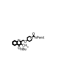 CCCCCC(=O)N1CCC(OCc2nc3ccccc3c(OCCCC)c2C)CC1